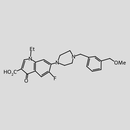 CCn1cc(C(=O)O)c(=O)c2cc(F)c(N3CCN(Cc4cccc(COC)c4)CC3)cc21